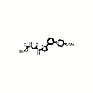 COC1CCN(c2cccc(-c3csc(NC(=O)CNC(=O)OC(C)(C)C)n3)c2)CC1